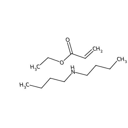 C=CC(=O)OCC.CCCCNCCCC